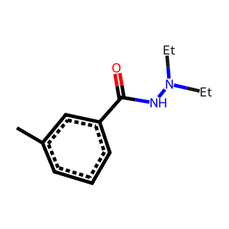 CCN(CC)NC(=O)c1cccc(C)c1